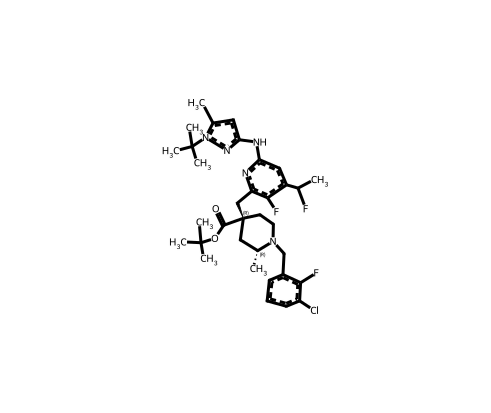 Cc1cc(Nc2cc(C(C)F)c(F)c(C[C@@]3(C(=O)OC(C)(C)C)CCN(Cc4cccc(Cl)c4F)[C@H](C)C3)n2)nn1C(C)(C)C